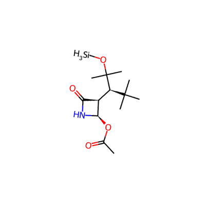 CC(=O)O[C@H]1NC(=O)[C@H]1[C@H](C(C)(C)C)C(C)(C)O[SiH3]